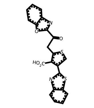 O=C(Cc1scc(-c2nc3ccccc3s2)c1C(=O)O)c1nc2ccccc2o1